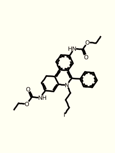 CCOC(=O)NC1=CCC2=c3ccc(NC(=O)OCC)cc3=C(c3ccccc3)N(CCCI)C2=C1